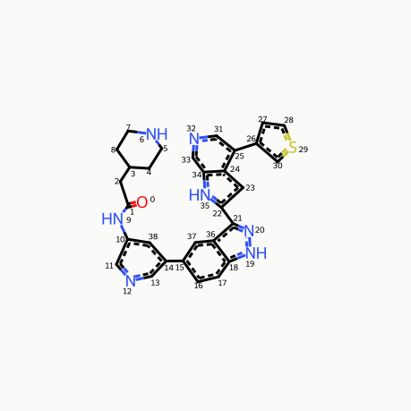 O=C(CC1CCNCC1)Nc1cncc(-c2ccc3[nH]nc(-c4cc5c(-c6ccsc6)cncc5[nH]4)c3c2)c1